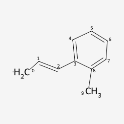 [CH2]C=Cc1ccccc1C